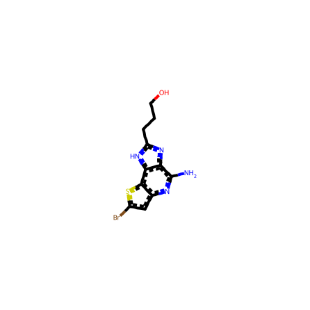 Nc1nc2cc(Br)sc2c2[nH]c(CCCO)nc12